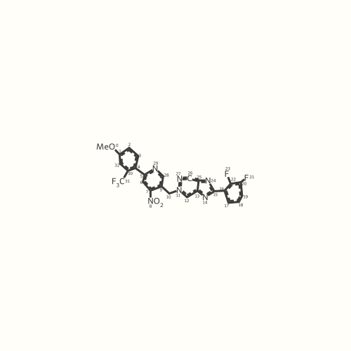 COc1ccc(-c2cc([N+](=O)[O-])c(Cn3cc4nc(-c5cccc(F)c5F)nc-4cn3)cn2)c(C(F)(F)F)c1